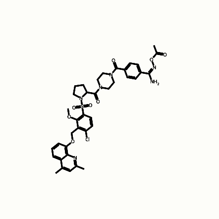 COc1c(S(=O)(=O)N2CCCC2C(=O)N2CCN(C(=O)c3ccc(/C(N)=N\OC(C)=O)cc3)CC2)ccc(Cl)c1COc1cccc2c(C)cc(C)nc12